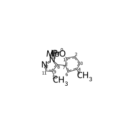 COc1ccc(C)cc1-c1c(C)cnn1C(C)C